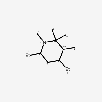 CCC1CC(CC)N(C)C(C)(C)C1C